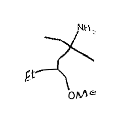 CCC(OC)C(C)(C)N